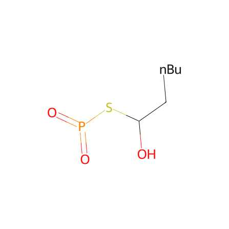 CCCCCC(O)SP(=O)=O